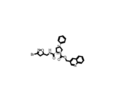 O=C(NCC1CC(Br)=NO1)[C@@H]1C[C@H](c2ccccc2)CN1C(=O)OCc1cnc2ccccc2c1